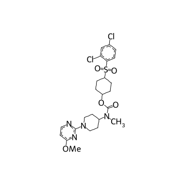 COc1ccnc(N2CCC(N(C)C(=O)OC3CCC(S(=O)(=O)c4ccc(Cl)cc4Cl)CC3)CC2)n1